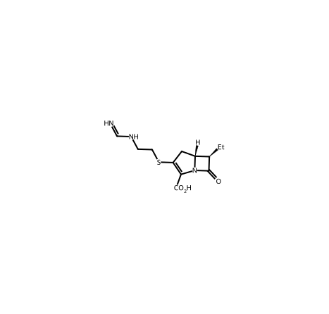 CC[C@H]1C(=O)N2C(C(=O)O)=C(SCCNC=N)C[C@H]12